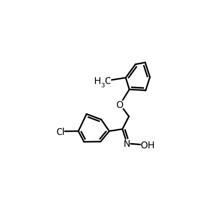 Cc1ccccc1OC/C(=N\O)c1ccc(Cl)cc1